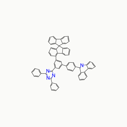 c1ccc(-c2nc(-c3ccccc3)nc(-c3cc(-c4ccc(-c5nc6ccccc6c6ccccc56)cc4)cc(-c4cccc5c4-c4ccccc4C54c5ccccc5-c5ccccc54)c3)n2)cc1